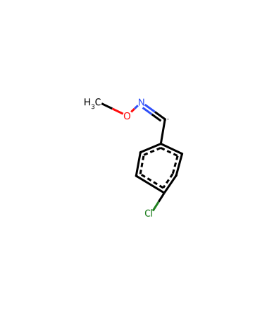 CO/N=[C]\c1ccc(Cl)cc1